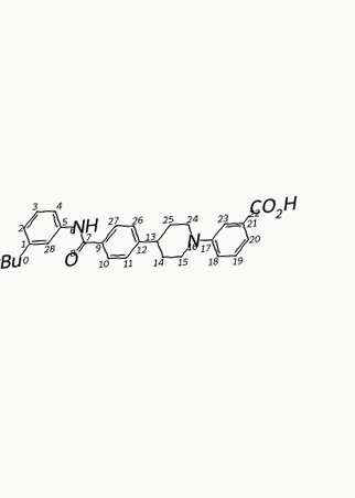 CC(C)(C)c1cccc(NC(=O)c2ccc(C3CCN(c4cccc(C(=O)O)c4)CC3)cc2)c1